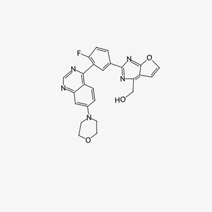 OCc1nc(-c2ccc(F)c(-c3ncnc4cc(N5CCOCC5)ccc34)c2)nc2occc12